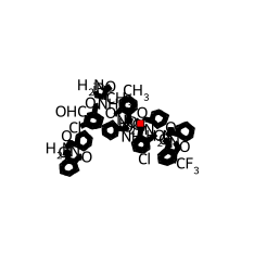 CC(C)CC(C)(NC(=O)c1cccc(Cl)c1C=O)C(N)=O.Cc1ccc2c(c1)C(=O)N(C1(C(N)=O)CCCCC1)C2=O.NC(=O)C1(N2C(=O)C3=C(CCCC3)C2=O)CCCCC1.NC(=O)C1(N2C(=O)c3ccc(Cl)cc3C2=O)CCCCC1.NC(=O)C1(N2C(=O)c3cccc(C(F)(F)F)c3C2=O)CCCCC1